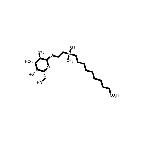 C[Si](C)(CCCCCCCCCC(=O)O)CCOC1O[C@H](CO)[C@H](O)[C@H](O)[C@H]1N